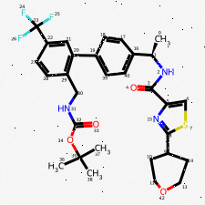 C[C@@H](NC(=O)c1csc(C2CCOCC2)n1)c1ccc(-c2cc(C(F)(F)F)ccc2CNC(=O)OC(C)(C)C)cc1